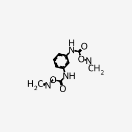 C=NOC(=O)Nc1cccc(NC(=O)ON=C)c1